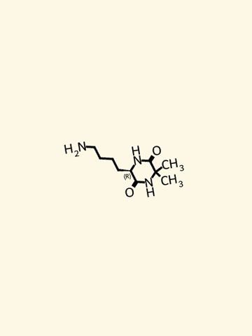 CC1(C)NC(=O)[C@@H](CCCCN)NC1=O